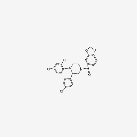 O=C(c1ccc2c(c1)OCO2)N1CCN(c2ccc(Cl)cc2Cl)C(c2ccc(Cl)cc2)C1